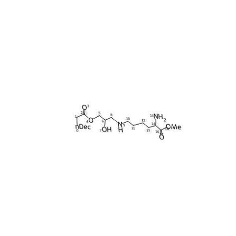 CCCCCCCCCCCC(=O)OCC(O)CNCCCCC(N)C(=O)OC